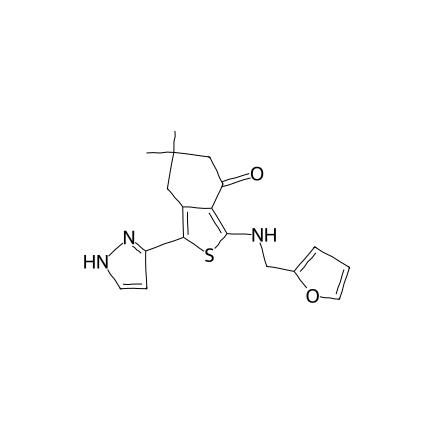 CC1(C)CC(=O)c2c(NCc3ccco3)sc(-c3cc[nH]n3)c2C1